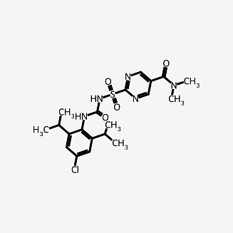 CC(C)c1cc(Cl)cc(C(C)C)c1NC(=O)NS(=O)(=O)c1ncc(C(=O)N(C)C)cn1